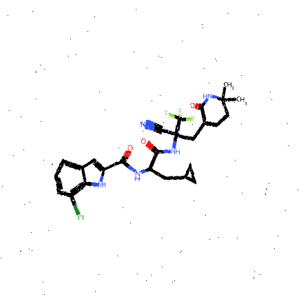 CC1(C)CCC(CC(C#N)(NC(=O)C(CC2CC2)NC(=O)c2cc3cccc(Cl)c3[nH]2)C(F)(F)F)C(=O)N1